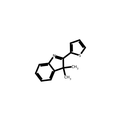 CC1(C)C(c2cccs2)=Nc2ccccc21